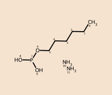 CCCCCCOP(O)O.N.N